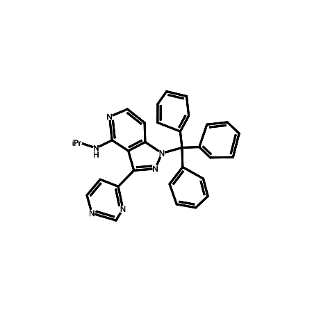 CC(C)Nc1nccc2c1c(-c1ccncn1)nn2C(c1ccccc1)(c1ccccc1)c1ccccc1